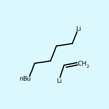 [Li][CH2]CCCCCCC.[Li][CH]=C